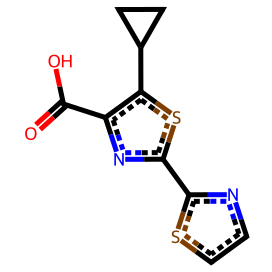 O=C(O)c1nc(-c2nccs2)sc1C1CC1